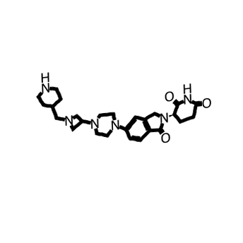 O=C1CC[C@H](N2Cc3cc(N4CCN(C5CN(CC6CCNCC6)C5)CC4)ccc3C2=O)C(=O)N1